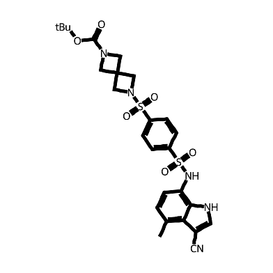 Cc1ccc(NS(=O)(=O)c2ccc(S(=O)(=O)N3CC4(CN(C(=O)OC(C)(C)C)C4)C3)cc2)c2[nH]cc(C#N)c12